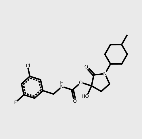 CC1CCC(N2CCC(O)(OC(=O)NCc3cc(F)cc(Cl)c3)C2=O)CC1